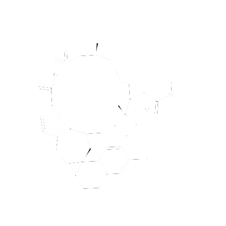 CO[C@@]1(CC(=O)N(C)C)/C=C/C[C@H](C)[C@@H](C)S(=O)(=O)NC(=O)c2ccc3c(c2)N(C[C@@H]2CC[C@H]21)C[C@@]1(CCCc2cc(Cl)ccc21)CO3